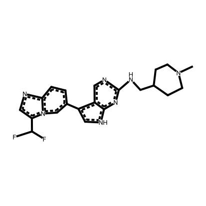 CN1CCC(CNc2ncc3c(-c4ccc5ncc(C(F)F)n5c4)c[nH]c3n2)CC1